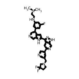 CN(C)CCNc1cc(F)cc(-c2cncc3[nH]c(-c4n[nH]c5cnc(-c6cncc(CN7CCC(F)(F)C7)c6)cc45)cc23)c1